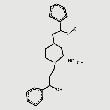 COC(CN1CCN(CCC(O)c2ccccc2)CC1)c1ccccc1.Cl.Cl